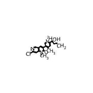 [2H]C(O)(CC=C)c1cc(C)c(-c2cc3cnc(Cl)cc3n(C)c2=O)cn1